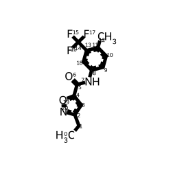 CCc1cc(C(=O)Nc2ccc(C)c(C(F)(F)F)c2)on1